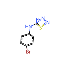 Brc1ccc(Nc2nnns2)cc1